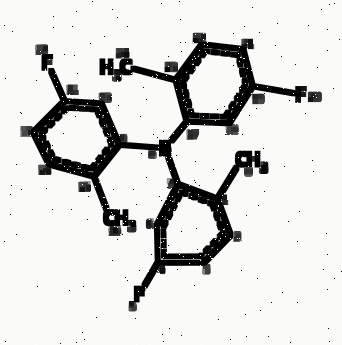 Cc1ccc(F)cc1B(c1cc(F)ccc1C)c1cc(F)ccc1C